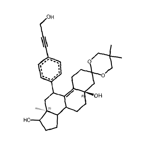 CC1(C)COC2(CCC3=C4C(c5ccc(C#CCO)cc5)C[C@]5(C)C(O)CCC5C4CC[C@@]3(O)C2)OC1